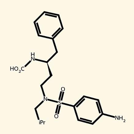 CC(C)CN(CC[C@H](Cc1ccccc1)NC(=O)O)S(=O)(=O)c1ccc(N)cc1